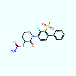 CS(=O)(=O)c1c(-c2ccccc2)ccc(N2CCCC(OC(N)=O)C2=O)c1F